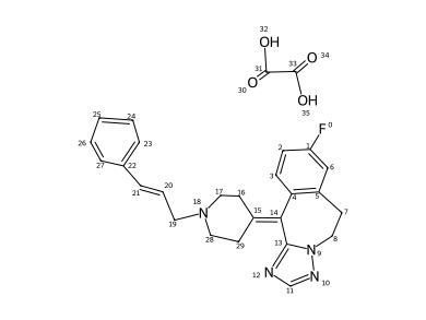 Fc1ccc2c(c1)CCn1ncnc1C2=C1CCN(C/C=C/c2ccccc2)CC1.O=C(O)C(=O)O